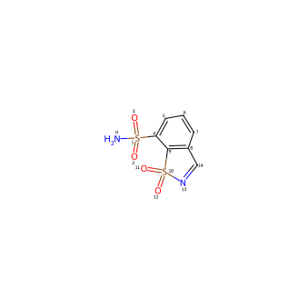 NS(=O)(=O)c1cccc2c1S(=O)(=O)N=C2